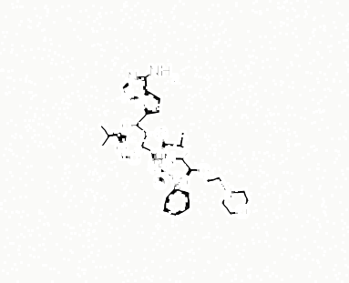 CO[C@](C#N)(COP(=O)(N[C@@H](C)C(=O)OCCN1CCOCC1)Oc1ccccc1)[C@@H](OC(=O)C(C)C)[C@@H](OC(=O)C(C)C)c1ccc2c(N)ncnn12